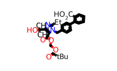 CCc1nc(C(C)(C)O)c(C(=O)OCOC(=O)C(C)(C)C)n1Cc1ccc(-c2ccccc2C(=O)O)cc1